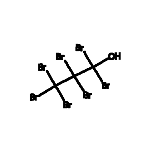 OC(Br)(Br)C(Br)(Br)C(Br)(Br)Br